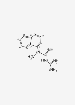 N=C(N)NC(=N)N(N)c1cccc2ccccc12